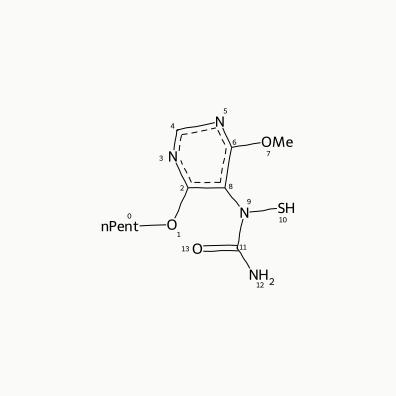 CCCCCOc1ncnc(OC)c1N(S)C(N)=O